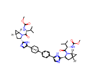 COC(=O)N[C@H](C(=O)N1[C@@H]2C[C@@H]2C[C@H]1c1ncc(-c2ccc(C34CCC(c5cnc([C@@H]6C[C@H]7C[C@H]7N6C(=O)[C@@H](NC(=O)OC)C(C)C)[nH]5)(CC3)CC4)cc2)[nH]1)C(C)C